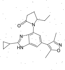 CCC1CCC(=O)N1c1cc(-c2c(C)noc2C)cc2[nH]c(C3CC3)nc12